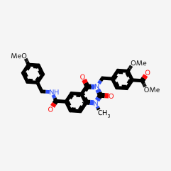 COC(=O)c1ccc(Cn2c(=O)c3cc(C(=O)NCc4ccc(OC)cc4)ccc3n(C)c2=O)cc1OC